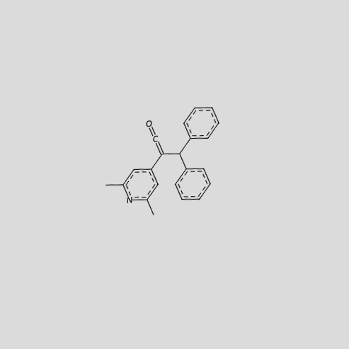 Cc1cc(C(=C=O)C(c2ccccc2)c2ccccc2)cc(C)n1